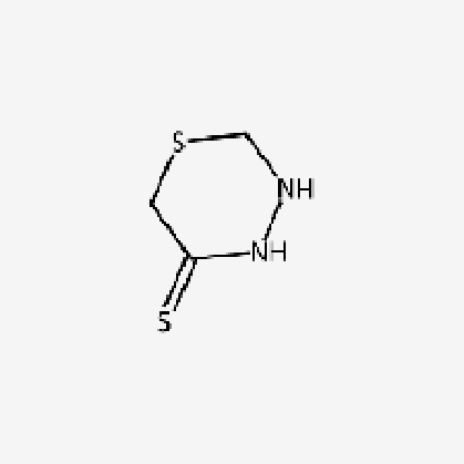 S=C1CSCNN1